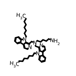 CCCCCCCCn1c2ccccc2c2ccnc(CN(CCCCCN)Cc3nccc4c5ccccc5n(CCCCCCCC)c34)c21